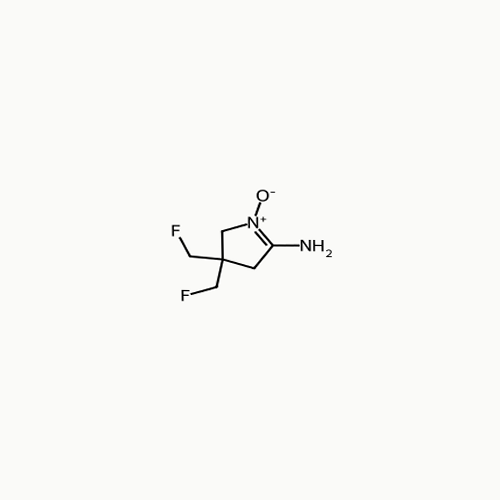 NC1=[N+]([O-])CC(CF)(CF)C1